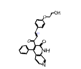 O=C(/C=C/c1ccc(OCCO)cc1)c1c(-c2ccccc2)c2ccncc2[nH]c1=O